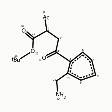 CC(=O)C(CC(=O)c1ccccc1CN)C(=O)OC(C)(C)C